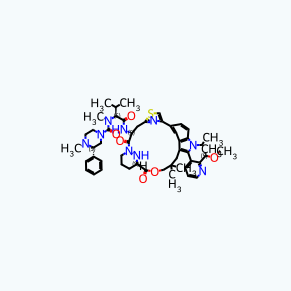 CCn1c(-c2cccnc2[C@H](C)OC)c2c3cc(ccc31)-c1csc(n1)C[C@H](NC(=O)[C@H](C(C)C)N(C)C(=O)N1CCN(C)[C@@H](c3ccccc3)C1)C(=O)N1CCC[C@H](N1)C(=O)OCC(C)(C)C2